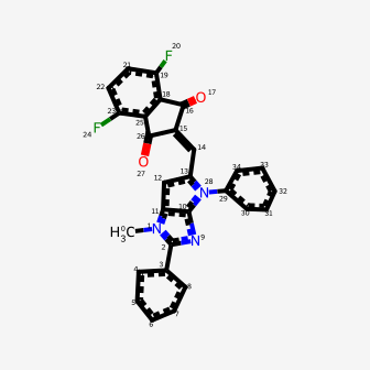 Cn1c(-c2ccccc2)nc2c1cc(C=C1C(=O)c3c(F)ccc(F)c3C1=O)n2-c1ccccc1